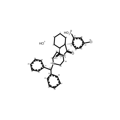 Cl.NC(=O)[C@H]1CCCC[C@]1(C(=O)N1CCN(C(c2ccccc2)c2ccccc2)CC1)c1ccc(Cl)cc1C(=O)O